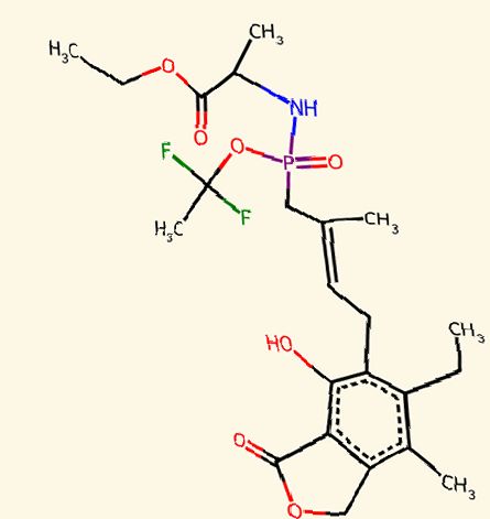 CCOC(=O)C(C)NP(=O)(C/C(C)=C/Cc1c(O)c2c(c(C)c1CC)COC2=O)OC(C)(F)F